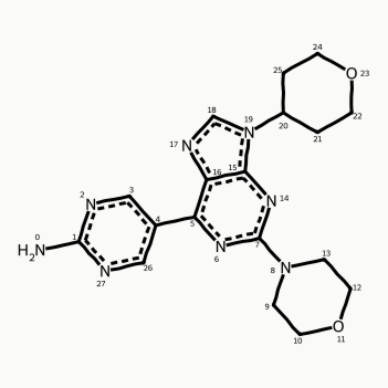 Nc1ncc(-c2nc(N3CCOCC3)nc3c2ncn3C2CCOCC2)cn1